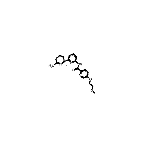 COCCOc1cnc(C(=O)Nc2cccc([C@]3(C)CCSC(N)=N3)n2)cn1